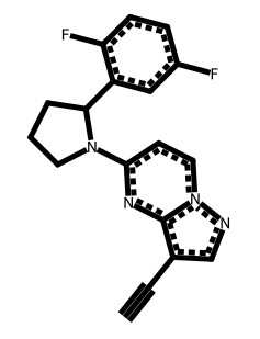 C#Cc1cnn2ccc(N3CCCC3c3cc(F)ccc3F)nc12